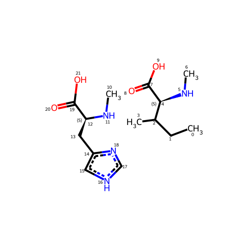 CCC(C)[C@H](NC)C(=O)O.CN[C@@H](Cc1c[nH]cn1)C(=O)O